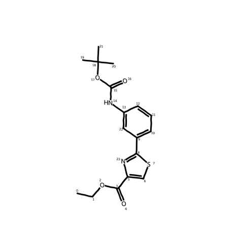 CCOC(=O)c1csc(-c2cccc(NC(=O)OC(C)(C)C)c2)n1